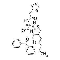 CCCC=CC1=C(C(=O)OC(c2ccccc2)c2ccccc2)N2C(=O)[C@@H](NC(=O)Cc3cccs3)[C@@H]2SC1